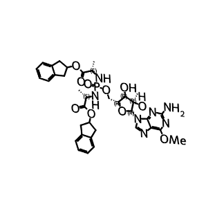 COc1nc(N)nc2c1ncn2[C@@H]1O[C@H](COP(=O)(N[C@@H](C)C(=O)OC2Cc3ccccc3C2)N[C@@H](C)C(=O)OC2Cc3ccccc3C2)[C@@H](O)[C@@]1(C)O